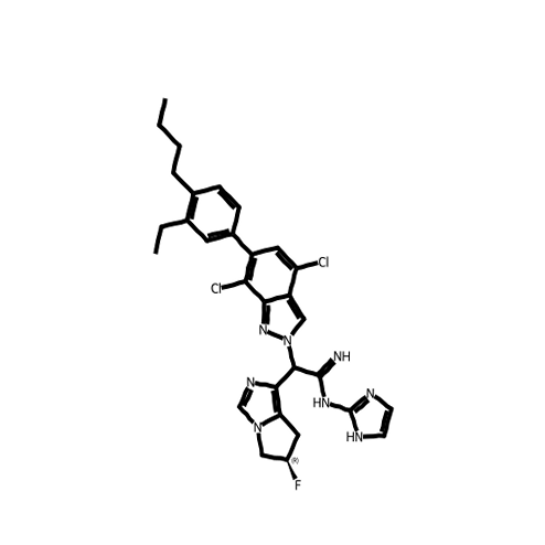 CCCCc1ccc(-c2cc(Cl)c3cn(C(C(=N)Nc4ncc[nH]4)c4ncn5c4C[C@@H](F)C5)nc3c2Cl)cc1CC